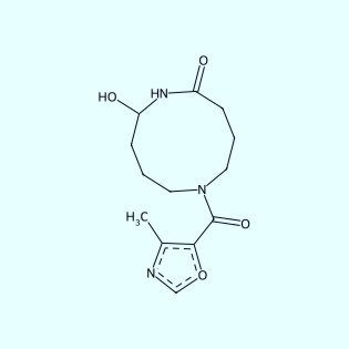 Cc1ncoc1C(=O)N1CCCC(=O)NC(O)CCC1